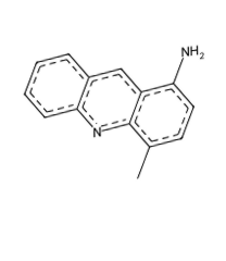 Cc1ccc(N)c2cc3ccccc3nc12